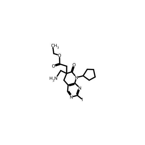 CCOC(=O)CC1(CN)Cc2cnc(I)nc2N(C2CCCC2)C1=O